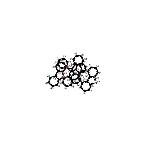 c1ccc(-c2c3ccccc3c(-c3cccc4sc5cccc(-c6c7ccccc7c(-c7cccc8c7oc7ccccc78)c7ccccc67)c5c34)c3ccccc23)cc1